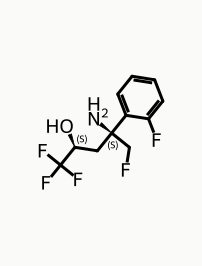 N[C@@](CF)(C[C@H](O)C(F)(F)F)c1ccccc1F